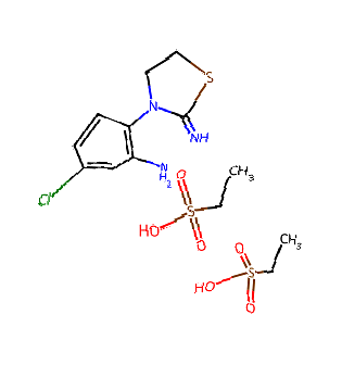 CCS(=O)(=O)O.CCS(=O)(=O)O.N=C1SCCN1c1ccc(Cl)cc1N